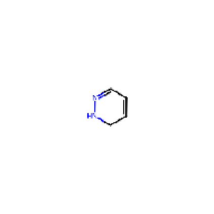 C1=CCNN=C1